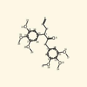 C=CCC(C(=O)Cc1cc(OC)c(OC)c(OC)c1)c1cc(OC)c(OC)c(OC)c1